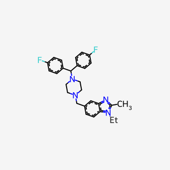 CCn1c(C)nc2cc(CN3CCN(C(c4ccc(F)cc4)c4ccc(F)cc4)CC3)ccc21